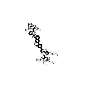 COC[C@H]1CC(c2ncc(-c3ccc4c(c3)COc3cc5c(ccc6nc([C@@H]7CC[C@H](C)N7C(=O)[C@@H](NC(=O)OC)C(C)C)[nH]c65)cc3-4)[nH]2)N(C(=O)C(NC(=O)OC)[C@@H](C)OC)C1